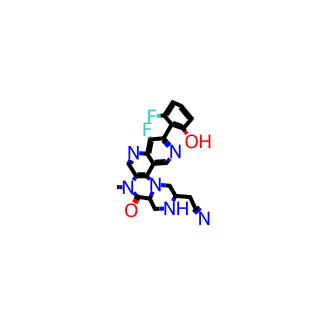 CN1C(=O)C2CNC(CC#N)CN2c2c1cnc1c(F)c(-c3c(O)cccc3F)ncc21